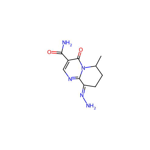 CC1CCC(=NN)c2ncc(C(N)=O)c(=O)n21